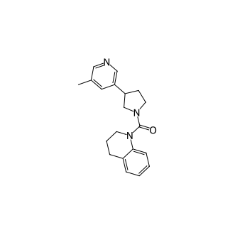 Cc1cncc(C2CCN(C(=O)N3CCCc4ccccc43)C2)c1